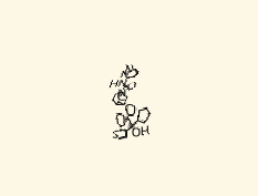 O=C(OC1C[N+]2(C(=O)Nc3cccnn3)CCC1CC2)[C@](O)(c1ccsc1)C1CCCC1